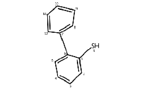 Sc1ccccc1-c1cc[c]cc1